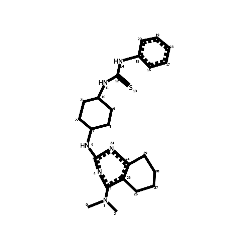 CN(C)c1nc(NC2CCC(NC(=S)Nc3ccccc3)CC2)nc2c1CCCC2